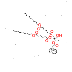 CCCCCCCCCOC(=O)CCCCC(=O)OCC(CO)(COC(=O)CCCCC(=O)OCCCCCCCCC)COC(=O)CC12CC3CC(CC(C3)C1)C2